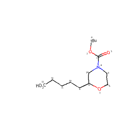 CC(C)(C)OC(=O)N1CCOC(CCCCC(=O)O)C1